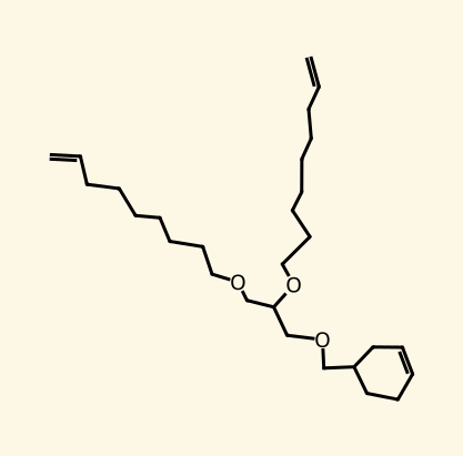 C=CCCCCCCCOCC(COCC1CC=CCC1)OCCCCCCCC=C